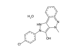 CN1N=c2ccccc2=C2NN(c3ccc(Cl)cc3)C(O)=C21.O